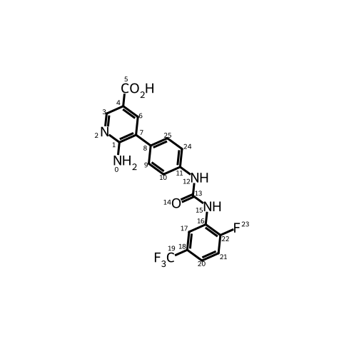 Nc1ncc(C(=O)O)cc1-c1ccc(NC(=O)Nc2cc(C(F)(F)F)ccc2F)cc1